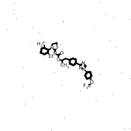 CCc1cccc(C)c1N1CCS/C1=N\C(=O)OC(C)Cc1ccc(-c2ncn(-c3ccc(OC(F)(F)F)cc3)n2)cc1